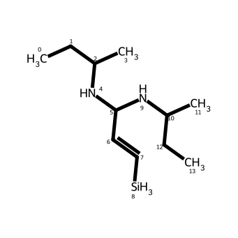 CCC(C)NC(C=C[SiH3])NC(C)CC